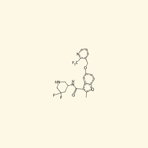 Cc1oc2ccc(OCc3cccnc3C(F)(F)F)cc2c1C(=O)NC1CNCC(F)(F)C1